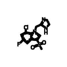 CS(=O)(=O)c1cn(CC2=NCCN2)c2c(Cl)cc(F)cc12